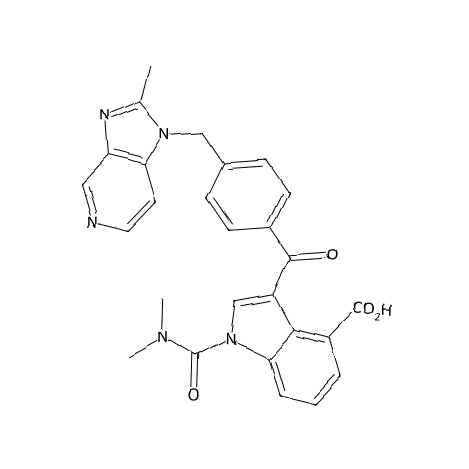 Cc1nc2cnccc2n1Cc1ccc(C(=O)c2cn(C(=O)N(C)C)c3cccc(C(=O)O)c23)cc1